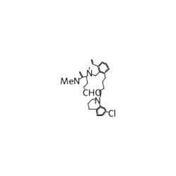 C=Cc1cccc(CCCCCN2CCCc3ccc(Cl)cc32)c1CN(C)C(CCC=O)C(=C)NC